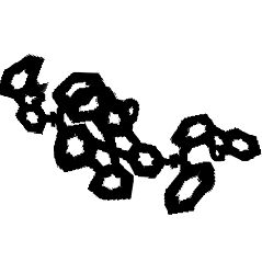 c1ccc(N(c2ccc3c(c2)-c2oc4ccccc4c2C32c3ccccc3-c3ccc(N(c4ccccc4)c4cccc5c4sc4ccccc45)cc32)c2cccc3c2oc2ccccc23)cc1